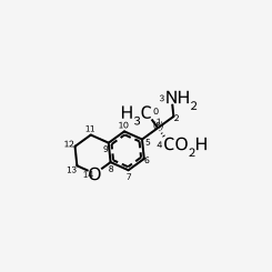 C[C@](CN)(C(=O)O)c1ccc2c(c1)CCCO2